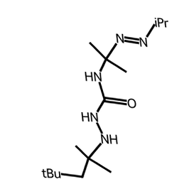 CC(C)/N=N/C(C)(C)NC(=O)NNC(C)(C)CC(C)(C)C